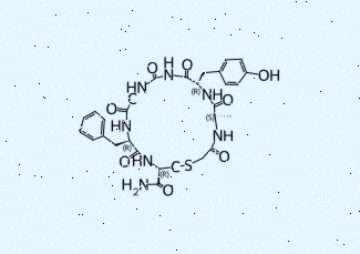 C[C@@H]1NC(=O)CSC[C@@H](C(N)=O)NC(=O)[C@@H](Cc2ccccc2)NC(=O)CNC(=O)NC(=O)[C@@H](Cc2ccc(O)cc2)NC1=O